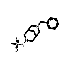 CS(=O)(=O)NN1CC2CC(CN(Cc3ccccc3)C2)C1